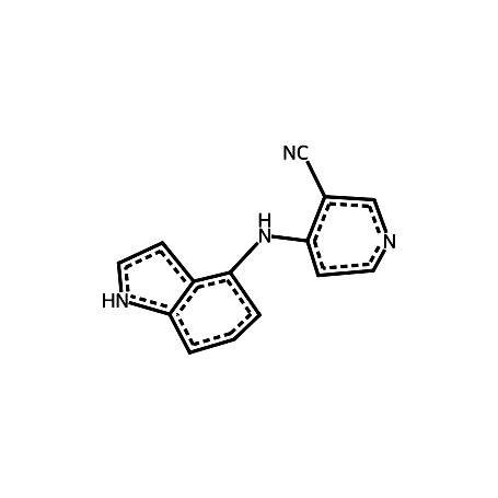 N#Cc1cnccc1Nc1cccc2[nH]ccc12